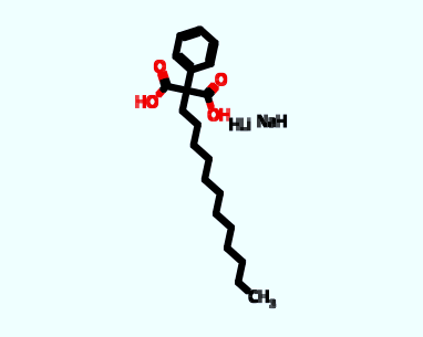 CCCCCCCCCCCCC(C(=O)O)(C(=O)O)c1ccccc1.[LiH].[NaH]